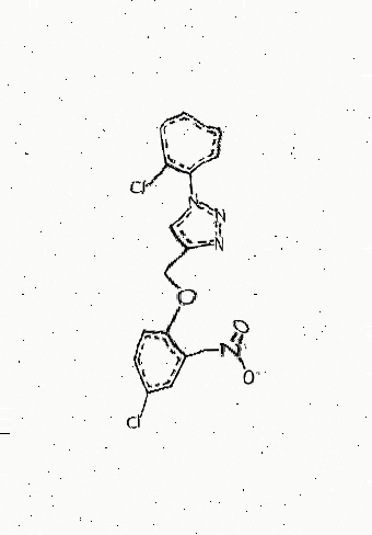 O=[N+]([O-])c1cc(Cl)ccc1OCc1cn(-c2ccccc2Cl)nn1